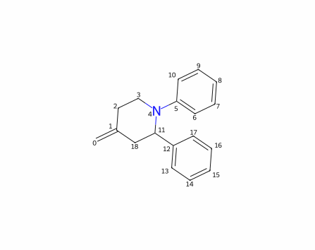 C=C1CCN(c2ccccc2)C(c2ccccc2)C1